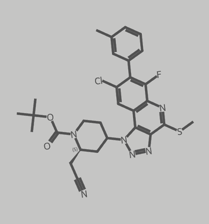 CSc1nc2c(F)c(-c3cccc(C)c3)c(Cl)cc2c2c1nnn2C1CCN(C(=O)OC(C)(C)C)[C@H](CC#N)C1